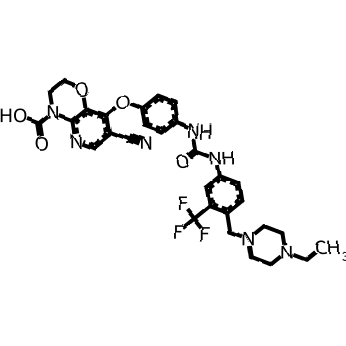 CCN1CCN(Cc2ccc(NC(=O)Nc3ccc(Oc4c(C#N)cnc5c4OCCN5C(=O)O)cc3)cc2C(F)(F)F)CC1